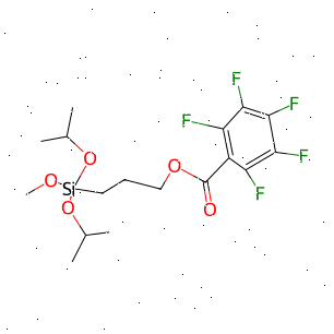 CO[Si](CCCOC(=O)c1c(F)c(F)c(F)c(F)c1F)(OC(C)C)OC(C)C